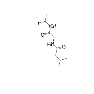 CC(C)CC(=O)NCC(=O)NC(C)I